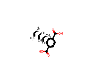 C=CC.C=CC.C=CC.O=C(O)c1ccc(C(=O)O)cc1